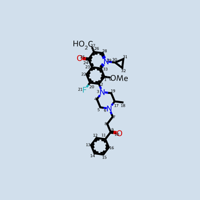 COc1c(N2CCN(CCC(=O)c3ccccc3)C(C)C2)c(F)cc2c(=O)c(C(=O)O)cn(C3CC3)c12